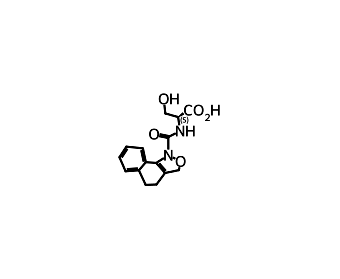 O=C(O)[C@H](CO)NC(=O)N1OCC2=C1c1ccccc1CC2